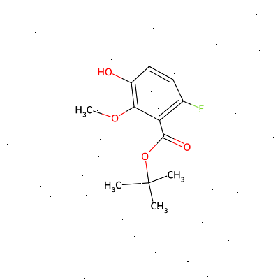 COc1c(O)ccc(F)c1C(=O)OC(C)(C)C